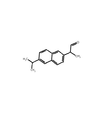 CC(C)c1ccc2cc(C(C)C=O)ccc2c1